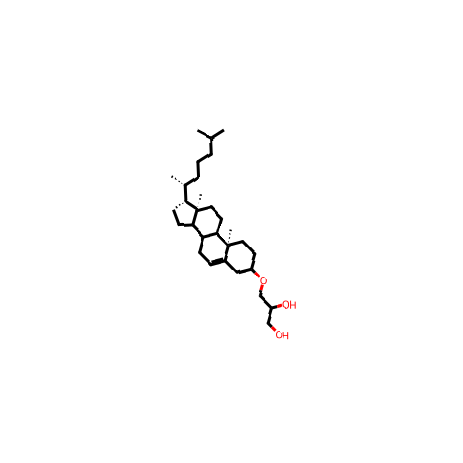 CC(C)CCC[C@@H](C)[C@H]1CCC2C3CC=C4CC(OCC(O)CO)CC[C@]4(C)C3CC[C@@]21C